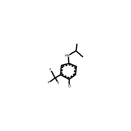 CC(C)Nc1ccc(Cl)c(C(F)(F)F)c1